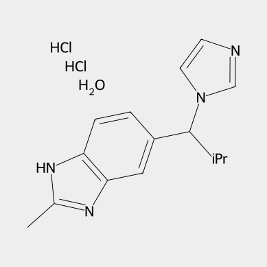 Cc1nc2cc(C(C(C)C)n3ccnc3)ccc2[nH]1.Cl.Cl.O